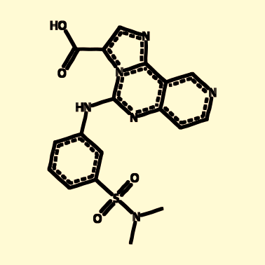 CN(C)S(=O)(=O)c1cccc(Nc2nc3ccncc3c3ncc(C(=O)O)n23)c1